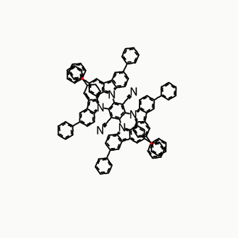 N#Cc1c(-n2c3c(c4cc(-c5ccccc5)ccc42)=CC(c2ccccc2)CC=3)c(-n2c3ccc(-c4ccccc4)cc3c3cc(-c4ccccc4)ccc32)c(C#N)c(-n2c3ccc(-c4ccccc4)cc3c3cc(-c4ccccc4)ccc32)c1-n1c2ccc(-c3ccccc3)cc2c2cc(-c3ccccc3)ccc21